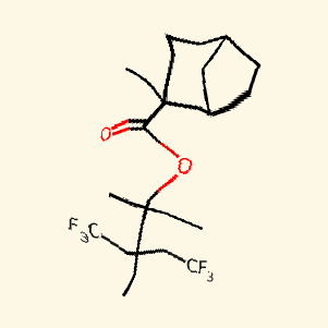 CC1(C(=O)OC(C)(C)C(C)(C(F)(F)F)C(F)(F)F)CC2CCC1C2